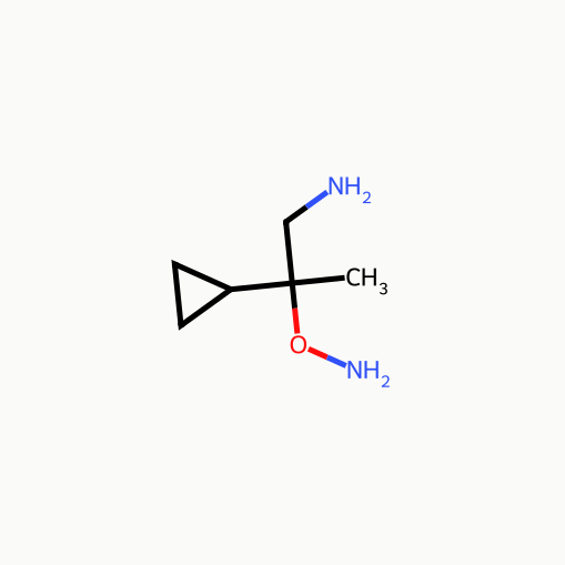 CC(CN)(ON)C1CC1